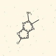 Cc1nc2cc(Cl)sc2nc1N